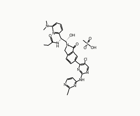 CCC(=O)N[C@H](c1cccc(N(C)C)n1)[C@H](O)N1Cc2ccc(-c3nc(Nc4ccnc(C)n4)ncc3Cl)cc2C1=O.CS(=O)(=O)O